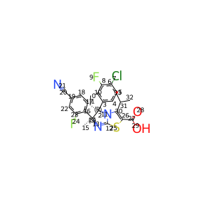 CC[C@]1(c2ccc(Cl)c(F)c2)N2C(=N[C@@]1(C)c1ccc(C#N)cc1F)SC(C(=O)O)=C2C(C)C